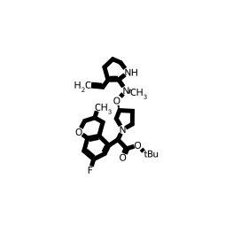 C=CC1=C(N(C)O[C@@H]2CCN(C(C(=O)OC(C)(C)C)c3cc(F)cc4c3CC(C)CO4)C2)NCCC1